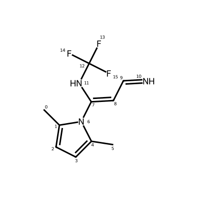 Cc1ccc(C)n1/C(=C/C=N)NC(F)(F)F